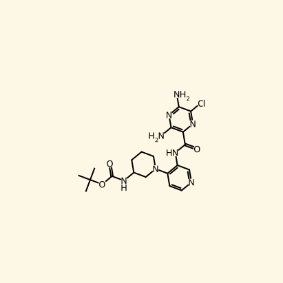 CC(C)(C)OC(=O)NC1CCCN(c2ccncc2NC(=O)c2nc(Cl)c(N)nc2N)C1